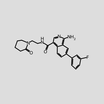 Nc1ncc(C(=O)NCCN2CCCCC2=O)c2ccc(-c3cccc(F)c3)cc12